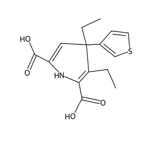 CCC1=C(C(=O)O)NC(C(=O)O)=CC1(CC)c1ccsc1